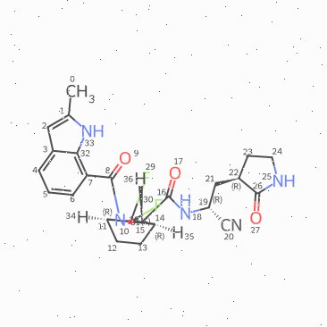 Cc1cc2cccc(C(=O)N3[C@@H]4CC[C@H]([C@H]3C(=O)N[C@@H](C#N)C[C@H]3CCNC3=O)C(F)(F)C4)c2[nH]1